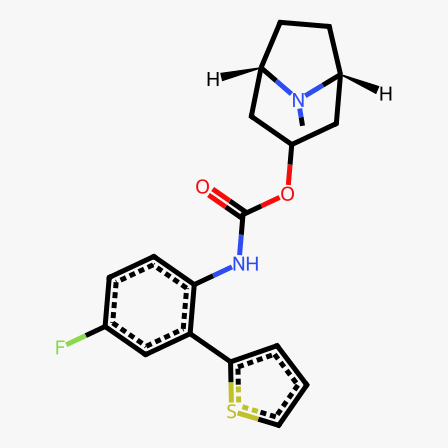 CN1[C@@H]2CC[C@H]1CC(OC(=O)Nc1ccc(F)cc1-c1cccs1)C2